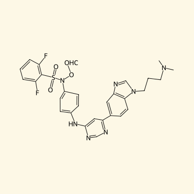 CN(C)CCCn1cnc2cc(-c3cc(Nc4ccc(N(OC=O)S(=O)(=O)c5c(F)cccc5F)cc4)ncn3)ccc21